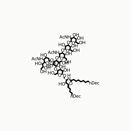 CCCCCCCCCCCCC/C=C/[C@@H](O)[C@H](CO[C@@H]1OC(CO)[C@@H](O[C@@H]2OC(CO)[C@H](O[C@@H]3OC(CO)[C@H](O)[C@H](O[C@@H]4OC(CO)[C@H](O)[C@H](O[C@@H]5OC(CO)[C@@H](O)[C@H](O)C5NC(C)=O)C4O)C3NC(C)=O)[C@H](O[C@]3(C(=O)O)CC(O)[C@@H](NC(C)=O)C([C@H](O)[C@H](O)CO)O3)C2O)[C@H](O)C1O)NC(=O)CCCCCCCCCCCCCCCCC